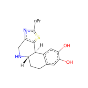 CCCc1nc2c(s1)[C@H]1c3cc(O)c(O)cc3CC[C@@H]1NC2